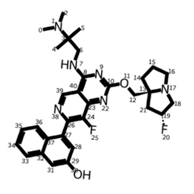 CN(C)C(C)(C)CNc1nc(OC[C@@]23CCCN2C[C@H](F)C3)nc2c(F)c(-c3cc(O)cc4ccccc34)ncc12